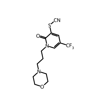 N#CSc1cc(C(F)(F)F)cn(CCCN2CCOCC2)c1=O